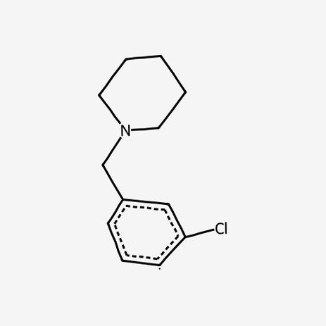 Clc1[c]ccc(CN2CCCCC2)c1